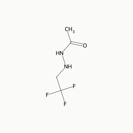 CC(=O)NNCC(F)(F)F